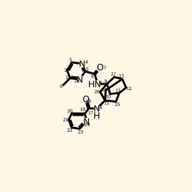 Cc1ccnc(C(=O)NC23CC4CC(CC(NC(=O)c5ccccn5)(C4)C2)C3)n1